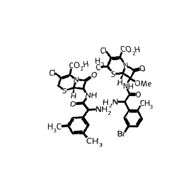 COC1(NC(=O)C(N)c2cc(Br)ccc2C)C(=O)N2C(C(=O)O)=C(Cl)C(C)S[C@H]21.Cc1cc(C)cc(C(N)C(=O)NC2C(=O)N3C(C(=O)O)=C(Cl)CS[C@@H]23)c1